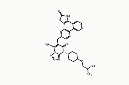 CCCc1c(Cc2ccc(-c3ccccc3-c3noc(=O)[nH]3)cc2)c(=O)n([C@H]2CC[C@H](OCC(O)C(F)(F)F)CC2)c2ncnn12.[KH]